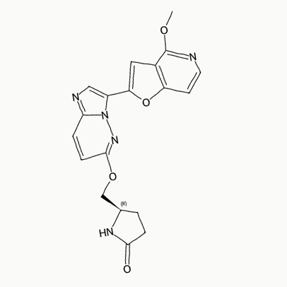 COc1nccc2oc(-c3cnc4ccc(OC[C@H]5CCC(=O)N5)nn34)cc12